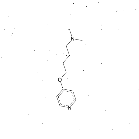 CN(C)CCCCOc1ccncc1